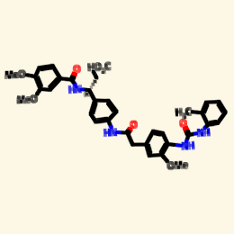 COc1cc(CC(=O)Nc2ccc([C@@H](CC(=O)O)NC(=O)c3ccc(OC)c(OC)c3)cc2)ccc1NC(=O)Nc1ccccc1C